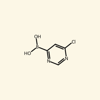 OB(O)c1cc(Cl)ncn1